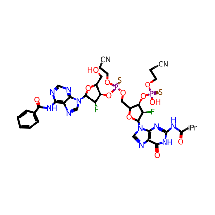 CC(C)C(=O)Nc1nc2c(ncn2C2OC(COP(=S)(OCCC#N)O[C@@H]3C(CO)OC(n4cnc5c(NC(=O)c6ccccc6)ncnc54)[C@@H]3F)[C@@H](OP(O)(=S)OCCC#N)[C@H]2F)c(=O)[nH]1